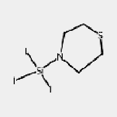 I[Si](I)(I)N1CCSCC1